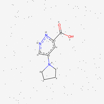 O=C(O)c1cc(N2CCCC2)cnn1